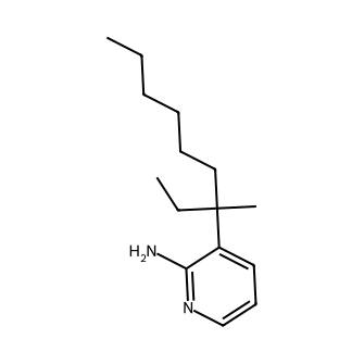 CCCCCCC(C)(CC)c1cccnc1N